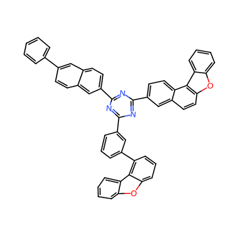 c1ccc(-c2ccc3cc(-c4nc(-c5cccc(-c6cccc7oc8ccccc8c67)c5)nc(-c5ccc6c(ccc7oc8ccccc8c76)c5)n4)ccc3c2)cc1